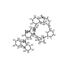 c1cc2cc(c1)c1ccc3sc4cccc(c5cc6ncc(-n7c8ccccc8c8ccccc87)cc6c(n5)c5cccc2c5)c4c3c1